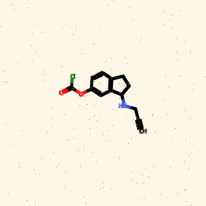 C#CCNC1CCc2ccc(OC(=O)Cl)cc21